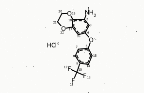 Cl.Nc1cc(Oc2ccc(C(F)(F)F)cc2)cc2c1OCCO2